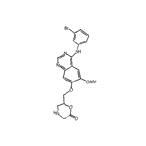 COc1cc2c(Nc3cccc(Br)c3)ncnc2cc1OCC1CNCC(=O)O1